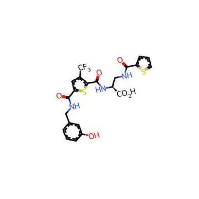 O=C(NC[C@H](NC(=O)c1sc(C(=O)NCc2cccc(O)c2)cc1C(F)(F)F)C(=O)O)c1cccs1